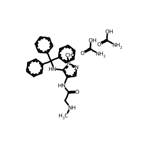 CNCC(=O)Nc1cnn(C)c1NC(c1ccccc1)(c1ccccc1)c1ccccc1.NC(=O)O.NC(=O)O